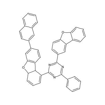 C1=CC2Oc3cc(-c4ccc5ccccc5c4)ccc3C2C(c2nc(-c3ccccc3)nc(-c3ccc4oc5ccccc5c4c3)n2)=C1